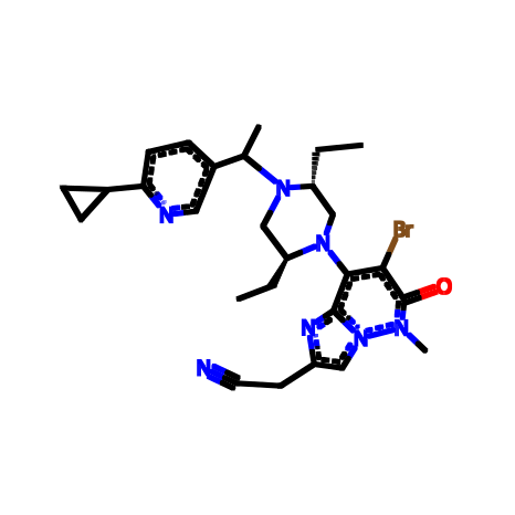 CC[C@H]1CN(C(C)c2ccc(C3CC3)nc2)[C@H](CC)CN1c1c(Br)c(=O)n(C)n2cc(CC#N)nc12